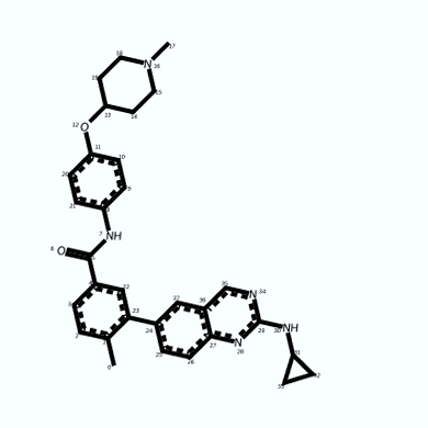 Cc1ccc(C(=O)Nc2ccc(OC3CCN(C)CC3)cc2)cc1-c1ccc2nc(NC3CC3)ncc2c1